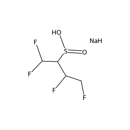 O=S(O)C(C(F)F)C(F)CF.[NaH]